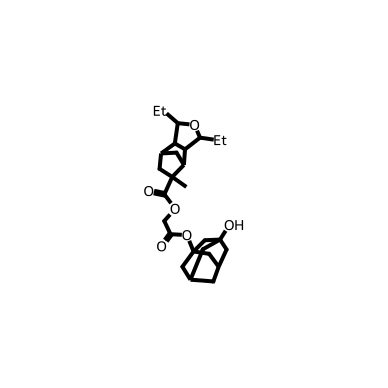 CCC1OC(CC)C2C1C1CC2C(C)(C(=O)OCC(=O)OC23CC4CC(CC(O)(C4)C2)C3)C1